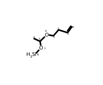 C=CCCOC(C)O[SiH3]